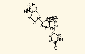 CNC1CCN(c2ccc3c(c2)ncn3C2CCC(=O)NC2=O)CC1.Cl.Cl